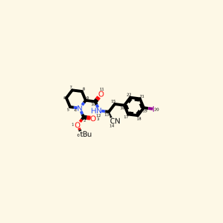 CC(C)(C)OC(=O)N1CCCCC1C(=O)N[C@H](C#N)Cc1ccc(I)cc1